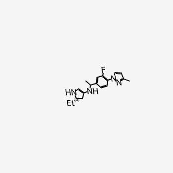 CC[C@H]1CC(NC(C)c2ccc(-n3ccc(C)n3)c(F)c2)=CN1